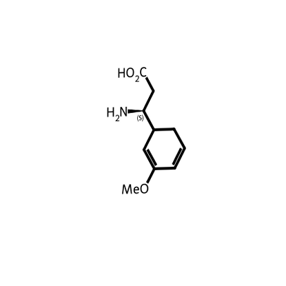 COC1=CC([C@@H](N)CC(=O)O)CC=C1